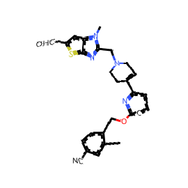 Cc1cc(C#N)ccc1COc1cccc(C2=CCN(Cc3nc4sc(C=O)cc4n3C)CC2)n1